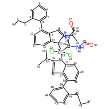 CCCc1ccccc1-c1cccc2c1C=C(C(C)C)[CH]2[Zr]([Cl])([Cl])([B](NC=O)NC=O)[CH]1C(C(C)C)=Cc2c(-c3ccccc3CCC)cccc21